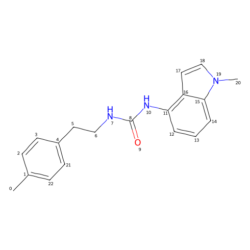 Cc1ccc(CCNC(=O)Nc2cccc3c2ccn3C)cc1